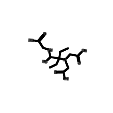 CCC(CC)(C(O)NCC(=O)O)N(CC(=O)O)CC(=O)O